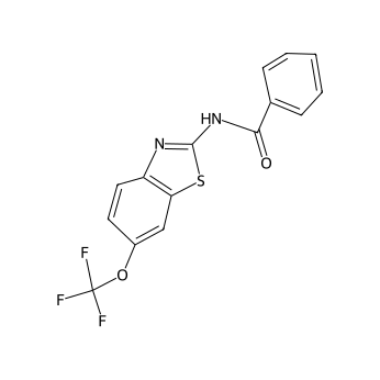 O=C(Nc1nc2ccc(OC(F)(F)F)cc2s1)c1ccccc1